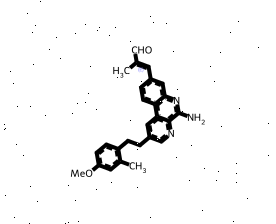 COc1ccc(CCc2cnc3c(N)nc4cc(/C=C(\C)C=O)ccc4c3c2)c(C)c1